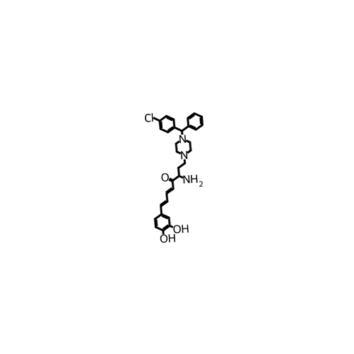 NC(CCN1CCN(C(c2ccccc2)c2ccc(Cl)cc2)CC1)C(=O)C=CC=Cc1ccc(O)c(O)c1